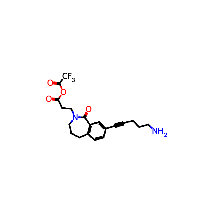 NCCCC#Cc1ccc2c(c1)C(=O)N(CCC(=O)OC(=O)C(F)(F)F)CCC2